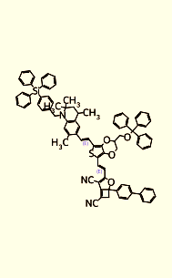 Cc1cc2c(cc1/C=C/c1sc(/C=C/C3=C(C#N)C4=C(C#N)CC4(c4ccc(-c5ccccc5)cc4)O3)c3c1OC(COC(c1ccccc1)(c1ccccc1)c1ccccc1)CO3)C(C)CC(C)(C)N2Cc1ccc([Si](c2ccccc2)(c2ccccc2)c2ccccc2)cc1